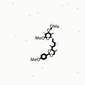 COCO[C@H]1[C@@H](C)[C@H](CC/C=C\[C@H](C)[C@H]2OC(c3ccc(OC)cc3)OC[C@@H]2C)O[C@@H](OC)[C@@H]1C